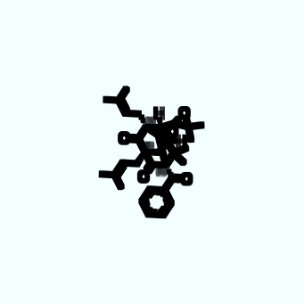 CC(C)=CC[C@]12C[C@@H]3[C@H](C4OC4(C)C)[C@](CC=C(C)C)(C1=O)C(=O)[C@](C(=O)c1ccccc1)(C2=O)C3(C)C